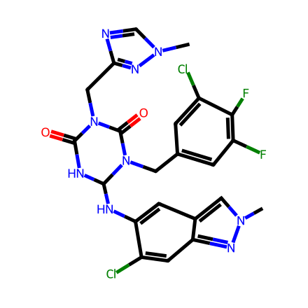 Cn1cnc(CN2C(=O)NC(Nc3cc4cn(C)nc4cc3Cl)N(Cc3cc(F)c(F)c(Cl)c3)C2=O)n1